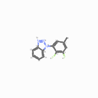 Cc1cc(F)c(F)c(-n2nnc3ccccc32)c1